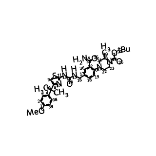 COc1ccc(C(C)(C)c2csc(NC(=O)NCc3ccc(N4CCN(C(=O)OC(C)(C)C)C(C)C4)c(C(N)=O)c3)n2)cc1